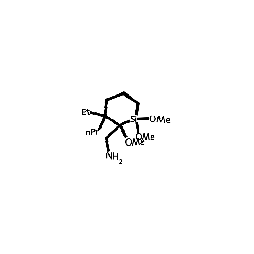 CCCC1(CC)CCC[Si](OC)(OC)C1(CN)OC